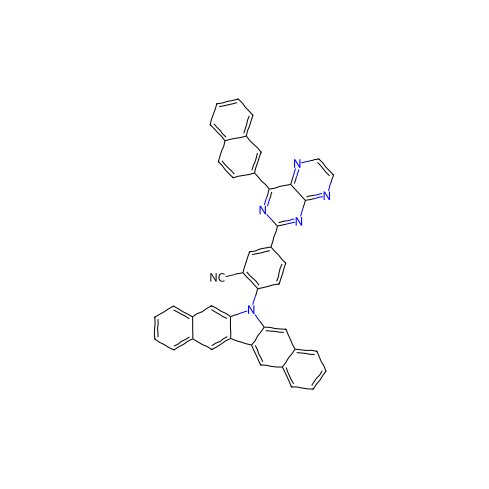 N#Cc1cc(-c2nc(-c3ccc4ccccc4c3)c3nccnc3n2)ccc1-n1c2cc3ccccc3cc2c2cc3ccccc3cc21